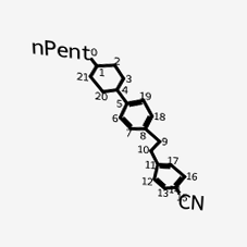 CCCCCC1CCC(c2ccc(CCc3ccc(C#N)cc3)cc2)CC1